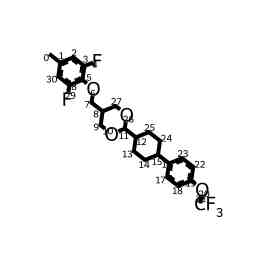 Cc1cc(F)c(OCC2COC(C3CCC(c4ccc(OC(F)(F)F)cc4)CC3)OC2)c(F)c1